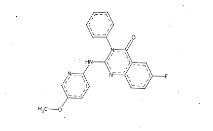 COc1ccc(Nc2nc3ccc(F)cc3c(=O)n2-c2ccccc2)nc1